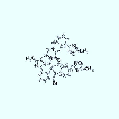 Cc1nc(-c2cccc(CBr)c2)no1.Cc1nc(-c2cccc(CN3CCN(Cc4ccc5ccc(-c6noc(C)n6)cc5c4)C(=O)C3)c2)no1